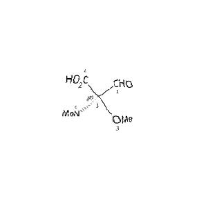 CN[C@](C=O)(OC)C(=O)O